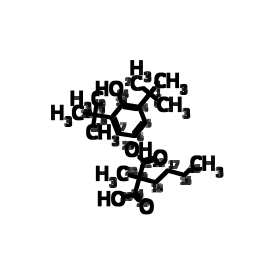 CC(C)(C)c1cccc(C(C)(C)C)c1O.CCCCC(C)(C(=O)O)C(=O)O